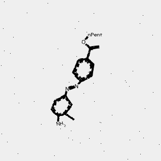 C=C(OCCCCC)c1ccc(/N=N/c2ccc(N)c(C)c2)cc1